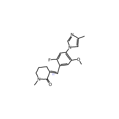 COc1cc(/C=C2\CCCN(C)C2=O)c(F)cc1-n1cnc(C)c1